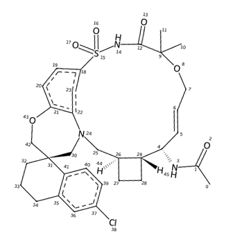 CC(=O)N[C@H]1/C=C/COC(C)(C)C(=O)NS(=O)(=O)c2ccc3c(c2)N(C[C@@H]2CC[C@H]21)C[C@@]1(CCCc2cc(Cl)ccc21)CO3